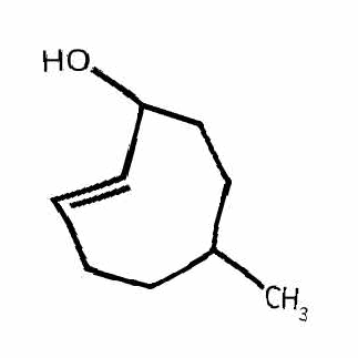 CC1CC/C=C/C(O)CC1